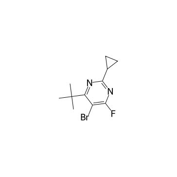 CC(C)(C)c1nc(C2CC2)nc(F)c1Br